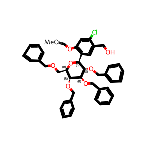 COCOc1cc(Cl)c(CO)cc1[C@@H]1O[C@H](COCc2ccccc2)[C@@H](OCc2ccccc2)[C@H](OCc2ccccc2)[C@H]1OCc1ccccc1